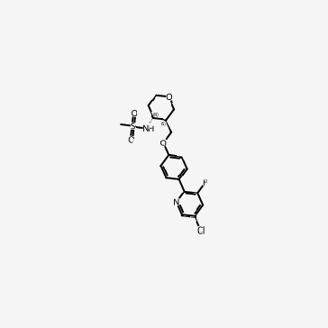 CS(=O)(=O)N[C@@H]1CCOC[C@H]1COc1ccc(-c2ncc(Cl)cc2F)cc1